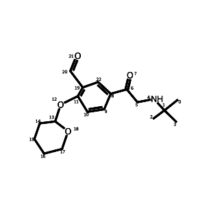 CC(C)(C)NCC(=O)c1ccc(OC2CCCCO2)c(C=O)c1